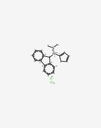 C[SiH](C)[Hf+2]([C]1=CC=CC1)[CH]1c2ccccc2-c2ccccc21.[Cl-].[Cl-]